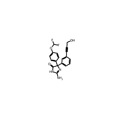 NC1=NC(c2ccc(OC(F)F)cc2)(c2cccc(C#CCO)c2)C(=O)N1